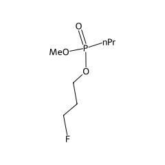 CCCP(=O)(OC)OCCCF